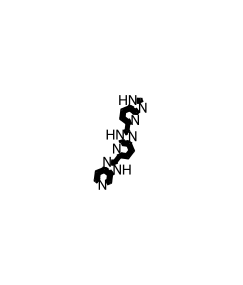 c1cc2nc(-c3ccc4nc(-c5ccc6[nH]cnc6n5)[nH]c4n3)[nH]c2cn1